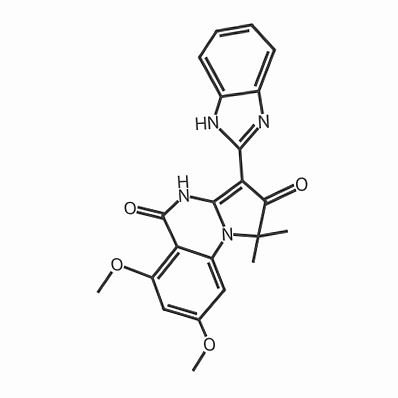 COc1cc(OC)c2c(c1)N1C(=C(c3nc4ccccc4[nH]3)C(=O)C1(C)C)NC2=O